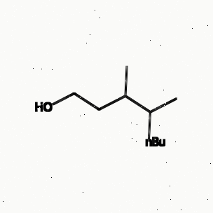 CCCCC(C)C(C)CCO